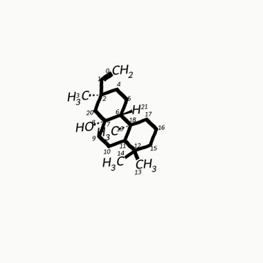 C=C[C@@]1(C)CC[C@H]2[C@@](O)(CCC3C(C)(C)CCC[C@@]32C)C1